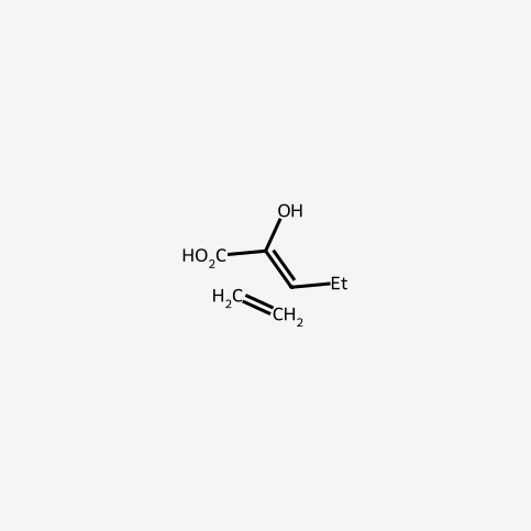 C=C.CC/C=C(\O)C(=O)O